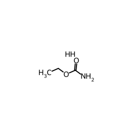 CCOC(N)=O.[HH]